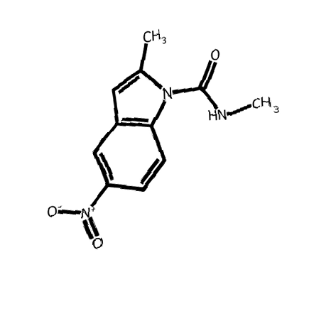 CNC(=O)n1c(C)cc2cc([N+](=O)[O-])ccc21